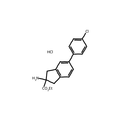 CCOC(=O)C1(N)Cc2ccc(-c3ccc(Cl)cc3)cc2C1.Cl